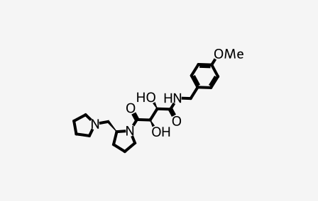 COc1ccc(CNC(=O)[C@H](O)[C@@H](O)C(=O)N2CCC[C@H]2CN2CCCC2)cc1